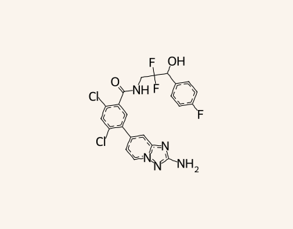 Nc1nc2cc(-c3cc(C(=O)NCC(F)(F)C(O)c4ccc(F)cc4)c(Cl)cc3Cl)ccn2n1